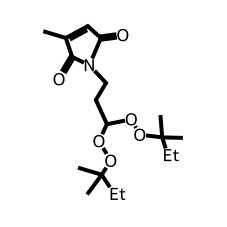 CCC(C)(C)OOC(CCN1C(=O)C=C(C)C1=O)OOC(C)(C)CC